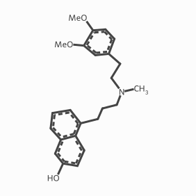 COc1ccc(CCN(C)CCCc2cccc3cc(O)ccc23)cc1OC